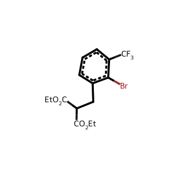 CCOC(=O)C(Cc1cccc(C(F)(F)F)c1Br)C(=O)OCC